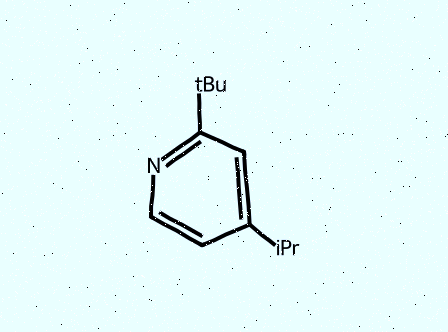 CC(C)c1ccnc(C(C)(C)C)c1